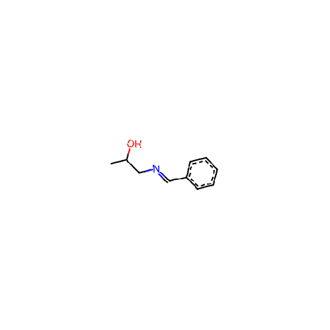 CC(O)C/N=C/c1ccccc1